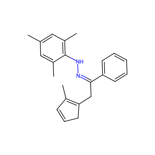 CC1=C(CC(=NNc2c(C)cc(C)cc2C)c2ccccc2)CC=C1